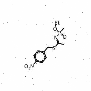 CCOP(C)(=O)N=C(C)SCc1ccc([N+](=O)[O-])cc1